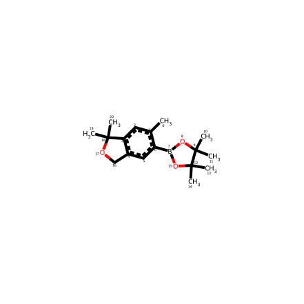 Cc1cc2c(cc1B1OC(C)(C)C(C)(C)O1)COC2(C)C